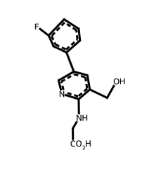 O=C(O)CNc1ncc(-c2cccc(F)c2)cc1CO